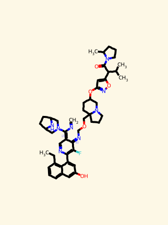 C=N/C(=C1/C=NC(c2cc(O)cc3cccc(CC)c23)=C(F)/C1=N/COCC12CCCN1CC(Oc1cc(C(C(=O)N3CCCC3C)C(C)C)on1)CC2)N1CC2CCC(C1)N2